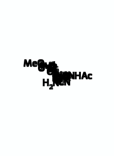 COC(=O)CCc1cccc(CSc2nc(N)c(C#N)c(-c3ccc(NC(C)=O)cc3)n2)[n+]1[O-]